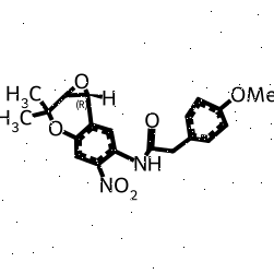 COc1ccc(CC(=O)Nc2cc3c(cc2[N+](=O)[O-])OC(C)(C)C2O[C@H]32)cc1